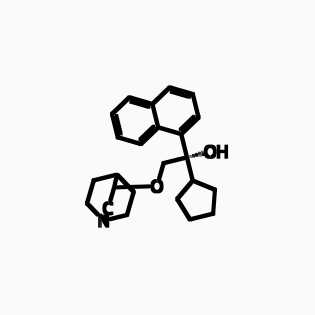 O[C@](COC1CN2CCC1CC2)(c1cccc2ccccc12)C1CCCC1